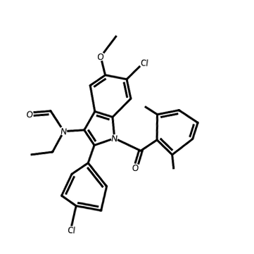 CCN(C=O)c1c(-c2ccc(Cl)cc2)n(C(=O)c2c(C)cccc2C)c2cc(Cl)c(OC)cc12